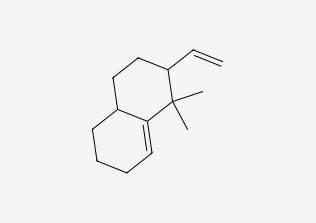 C=CC1CCC2CCCC=C2C1(C)C